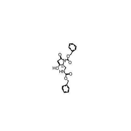 O=C(NC[C@H]1C(O)=CC(=O)N1C(=O)OCc1ccccc1)OCc1ccccc1